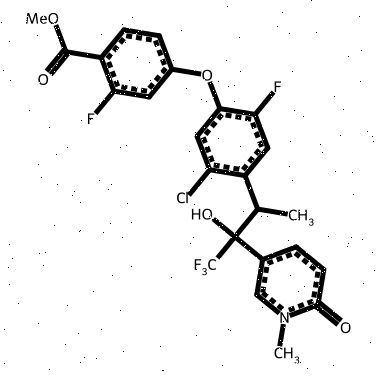 COC(=O)c1ccc(Oc2cc(Cl)c(C(C)C(O)(c3ccc(=O)n(C)c3)C(F)(F)F)cc2F)cc1F